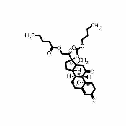 CCCCOC(=O)O[C@]1(C(=O)COC(=O)CCCC)CC[C@H]2[C@@H]3CCC4=CC(=O)CC[C@]4(C)[C@H]3C(=O)C[C@@]21C